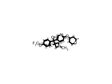 CN1CC(C)(C(O)(c2ccc(OC(F)(F)F)cc2)c2ccc(OC3CCOCC3)nc2)C1